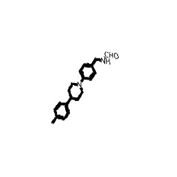 Cc1ccc(C2CCN(c3ccc(CNC=O)cc3)CC2)cc1